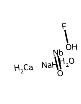 O.OF.[CaH2].[NaH].[O]=[Nb]